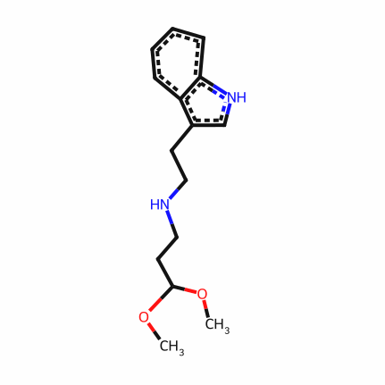 COC(CCNCCc1c[nH]c2ccccc12)OC